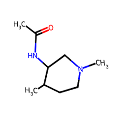 CC(=O)NC1CN(C)CCC1C